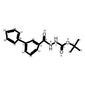 CC(C)(C)OC(=O)NNC(=O)c1cccc(-c2ccccc2)c1